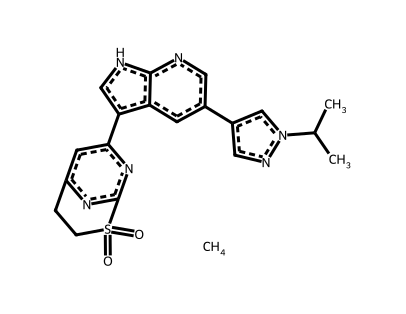 C.CC(C)n1cc(-c2cnc3[nH]cc(-c4cc5nc(n4)S(=O)(=O)CC5)c3c2)cn1